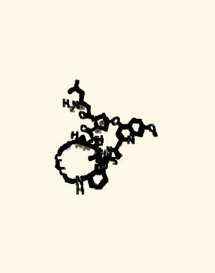 COc1ccc2c(O[C@@H]3C[C@@H](C(=O)N[C@]45C[C@@H]4/C=C\CCCCCNc4ccccc4S(=O)(=O)NC5=O)N(C(=O)C[C@@H](N)CC(C)C)C3)cc(-c3csc(NC(C)C)n3)nc2c1